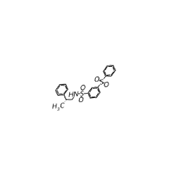 C[C@@H](CNS(=O)(=O)c1cccc(S(=O)(=O)c2ccccc2)c1)c1ccccc1